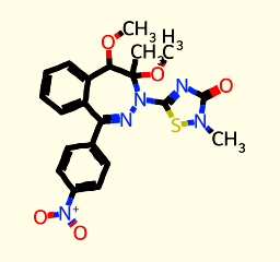 COC1c2ccccc2C(c2ccc([N+](=O)[O-])cc2)=NN(c2nc(=O)n(C)s2)C1(C)OC